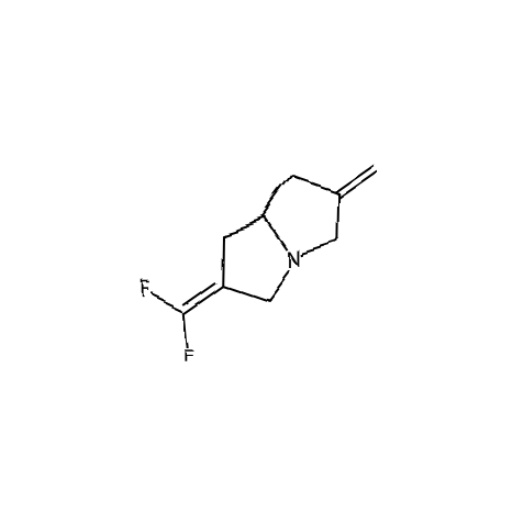 C=C1CC2CC(=C(F)F)CN2C1